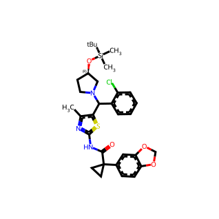 Cc1nc(NC(=O)C2(c3ccc4c(c3)OCO4)CC2)sc1C(c1ccccc1Cl)N1CC[C@@H](O[Si](C)(C)C(C)(C)C)C1